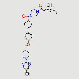 CCc1cnc(N2CCC(COc3ccc(C4=CCC(C(=O)N5CCN(C(=O)C=C(C)C)CC5)CC4)cc3)CC2)nc1